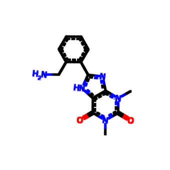 Cn1c(=O)c2[nH]c(-c3ccccc3CN)nc2n(C)c1=O